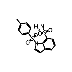 Cc1ccc(S(=O)(=O)n2ccc3cccc(S(N)(=O)=O)c32)cc1